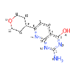 Nc1nc(O)c2ccc(C3CCOCC3)nc2n1